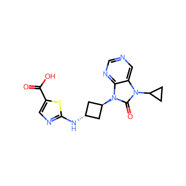 O=C(O)c1cnc(N[C@H]2C[C@H](n3c(=O)n(C4CC4)c4cncnc43)C2)s1